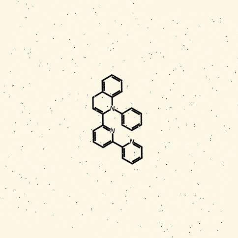 C1=C(c2cccc(-c3ccccn3)n2)N(c2ccccc2)c2ccccc2C1